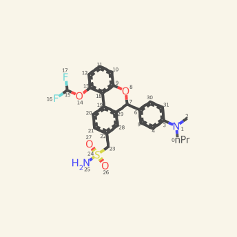 CCCN(C)c1ccc(C2Oc3cccc(OC(F)F)c3-c3ccc(CS(N)(=O)=O)cc32)cc1